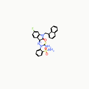 NC(=S)N(/N=C1\C(=O)N(Cc2cccc3ccccc23)c2cc(F)ccc21)c1ccccc1S(N)(=O)=O